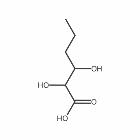 CCCC(O)C(O)C(=O)O